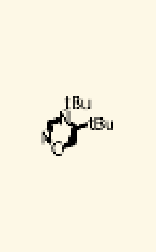 CC(C)(C)C1=CON=CN1C(C)(C)C